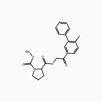 CC(C)(C)OC(=O)N1CCCC1C(=O)OCC(=O)c1ccc(I)c(-c2ccccc2)c1